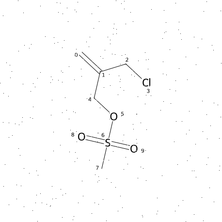 C=C(CCl)COS(C)(=O)=O